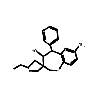 CCCCC1(CC)CSc2ccc(N)cc2C(c2ccccc2)C1O